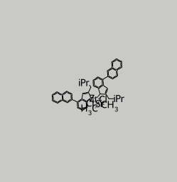 CC(C)CC1=Cc2c(-c3ccc4ccccc4c3)cccc2[CH]1[Zr]([Cl])([Cl])([CH]1C(CC(C)C)=Cc2c(-c3ccc4ccccc4c3)cccc21)=[Si](C)C